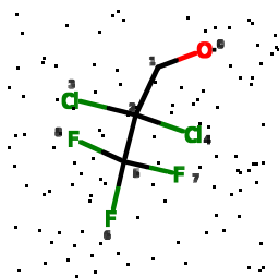 [O]CC(Cl)(Cl)C(F)(F)F